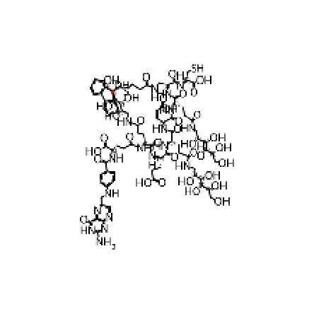 Nc1nc2ncc(CNc3ccc(C(=O)N[C@@H](CCC(=O)N[C@@H](CCC(=O)NC[C@H](O)[C@@H](O)[C@H](O)[C@H](O)CO)C(=O)N[C@@H](CCC(=O)O)C(=O)N[C@@H](CCC(=O)NC[C@H](O)[C@@H](O)[C@H](O)[C@H](O)CO)C(=O)N[C@@H](CCC(=O)O)C(=O)N[C@@H](CCC(=O)NC[C@H](O)[C@@H](O)[C@H](O)[C@H](O)CO)C(=O)N[C@@H](CNC(=O)CCSCC4c5ccccc5-c5ccccc54)C(=O)N[C@@H](CS)C(=O)O)C(=O)O)cc3)nc2c(=O)[nH]1